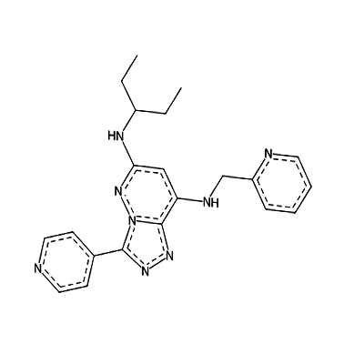 CCC(CC)Nc1cc(NCc2ccccn2)c2nnc(-c3ccncc3)n2n1